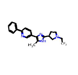 Cc1[nH]c(C2CCN(CC(F)(F)F)C2)nc1-c1ccc(-c2ccccc2)nc1